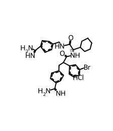 Cl.N=C(N)c1ccc(CNC(=O)[C@@H](NC(=O)C(Cc2ccc(C(=N)N)cc2)c2cccc(Br)c2)C2CCCCC2)cc1